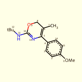 COc1ccc(C2=C(C)COC(NC(C)(C)C)=N2)cc1